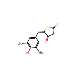 CC(C)(C)c1cc(/C=C2/SC(=S)CC2=O)cc(C(C)(C)C)c1O